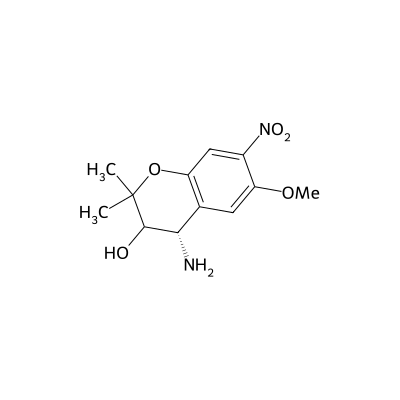 COc1cc2c(cc1[N+](=O)[O-])OC(C)(C)C(O)[C@H]2N